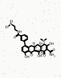 CCN(CC)CCNC(=O)c1cccc(-c2ccc(O)c3c2C[C@H]2C[C@H]4[C@H](N(C)C)C(O)=C(C(N)=O)C(=O)[C@@]4(O)C(O)=C2C3=O)c1